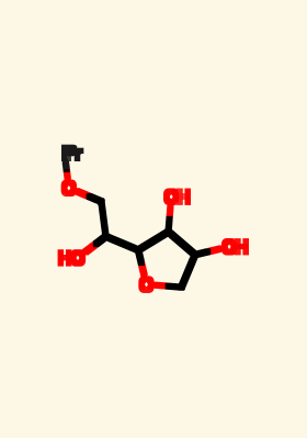 CC(C)OCC(O)C1OCC(O)C1O